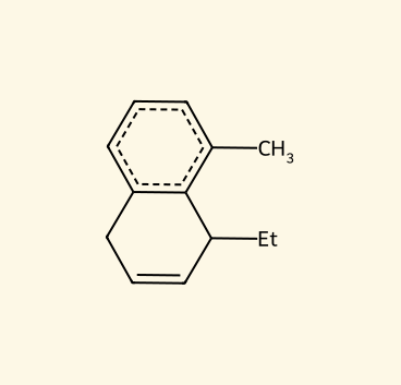 CCC1C=CCc2cccc(C)c21